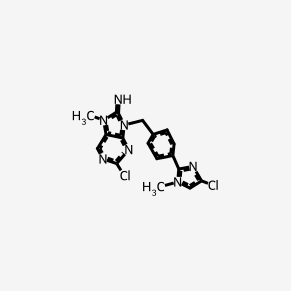 Cn1cc(Cl)nc1-c1ccc(Cn2c(=N)n(C)c3cnc(Cl)nc32)cc1